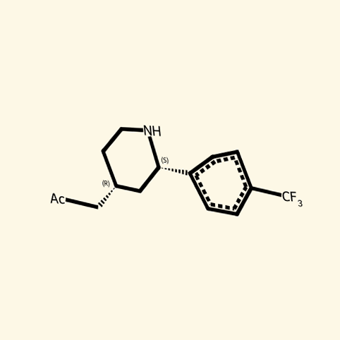 CC(=O)C[C@@H]1CCN[C@H](c2ccc(C(F)(F)F)cc2)C1